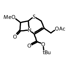 COC1C(=O)N2C(C(=O)OC(C)(C)C)=C(COC(C)=O)CSC12